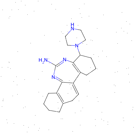 NC1=NC2=C(CCCC2N2CCNCC2)C2=CCC3=C(CCCC3)C2=N1